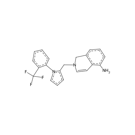 Nc1cccc2c1C=CN(Cc1cccn1-c1ccccc1C(F)(F)F)C2